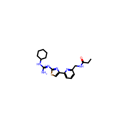 CCC(=O)NCc1cccc(-c2csc(/N=C(\N)NC3CCCCC3)n2)n1